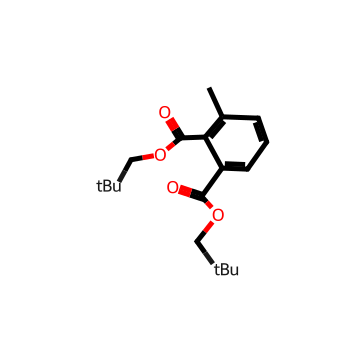 Cc1cccc(C(=O)OCC(C)(C)C)c1C(=O)OCC(C)(C)C